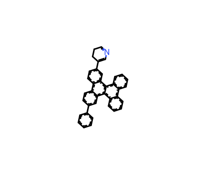 C1=NC=C(c2ccc3c4ccc(-c5ccccc5)cc4c4c5ccccc5c5ccccc5c4c3c2)CC1